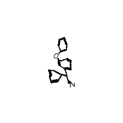 N#C[C](c1ccccc1)c1cccc(Oc2ccccc2)c1